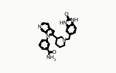 NC(=O)c1cccc(-n2c(C3CCCN(Cc4ccc5[nH]c(=O)[nH]c5c4)C3)cc3ccncc32)c1